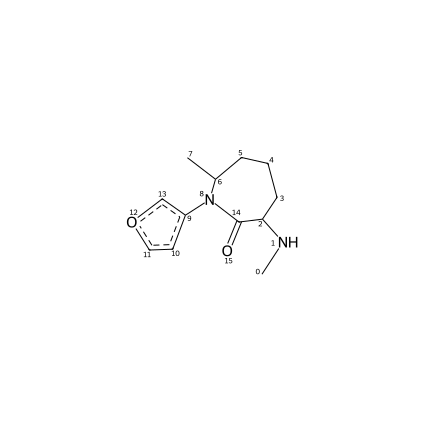 CNC1CCCC(C)N(c2ccoc2)C1=O